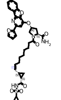 NC(=O)[C@@H]1C[C@@H](Oc2cc(-c3ccco3)nc3c2oc2ccccc23)CN1C(=O)CCCCCC/C=C\[C@@H]1C[C@@H]1C(=O)NS(=O)(=O)C1CC1